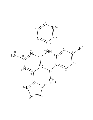 CC(c1ccc(F)cc1)c1c(Nc2cnccn2)nc(N)nc1-c1nccs1